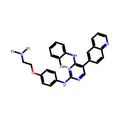 CCN(CC)CCOc1ccc(Nc2ncc(-c3ccc4ncccc4c3)c(Nc3ccccc3OC)n2)cc1